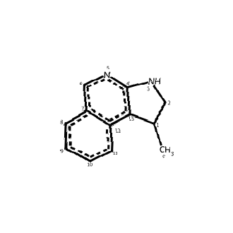 CC1CNc2ncc3ccccc3c21